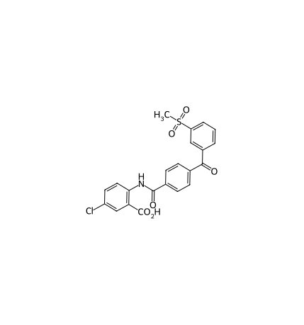 CS(=O)(=O)c1cccc(C(=O)c2ccc(C(=O)Nc3ccc(Cl)cc3C(=O)O)cc2)c1